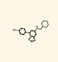 N#Cc1ccc(-c2cc(NCC3CCOCC3)cc3ncnn23)cc1